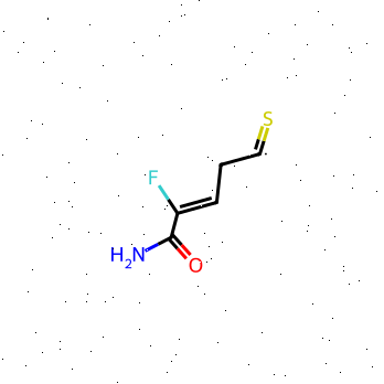 NC(=O)C(F)=CC[C]=S